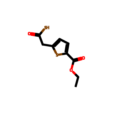 CCOC(=O)c1ccc(CC(=O)S)s1